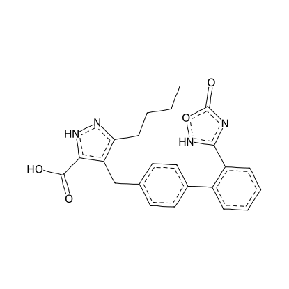 CCCCc1n[nH]c(C(=O)O)c1Cc1ccc(-c2ccccc2-c2nc(=O)o[nH]2)cc1